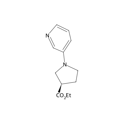 CCOC(=O)[C@@H]1CCN(c2cccnc2)C1